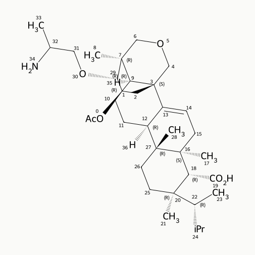 CC(=O)O[C@@H]1C[C@]23COC[C@@](C)([C@@H]2CC[C@H]2C3=CC[C@@]3(C)[C@H](C(=O)O)[C@@](C)([C@H](C)C(C)C)CC[C@]23C)[C@H]1OCC(C)N